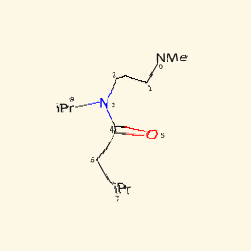 CNCCN(C(=O)CC(C)C)C(C)C